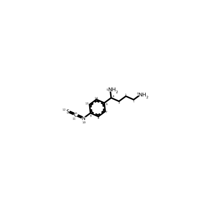 NCCCC(N)c1ccc(N=C=S)cc1